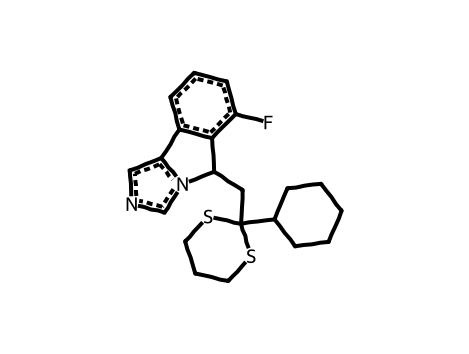 Fc1cccc2c1C(CC1(C3CCCCC3)SCCCS1)n1cncc1-2